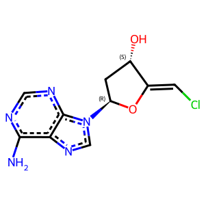 Nc1ncnc2c1ncn2[C@H]1C[C@H](O)C(=CCl)O1